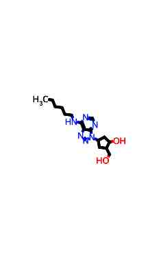 CCCCCCNc1ncnc2c1nnn2C1CC(O)C(CO)C1